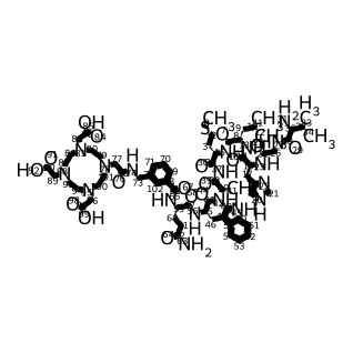 CSCC[C@H](NC(=O)[C@H](CC(C)C)NC(=O)[C@H](Cc1c[nH]cn1)NC(=O)CNC(=O)[C@@H](N)C(C)C)C(=O)NC(=O)[C@H](C)NC(=O)[C@H](Cc1c[nH]c2ccccc12)NC(=O)[C@H](CCC(N)=O)NC(=O)c1cccc(CNC(=O)CN2CCN(CC(=O)O)CCN(CC(=O)O)CCN(CC(=O)O)CC2)c1